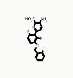 Nc1ccc(-c2c(F)ccc(OCc3ccccc3F)c2F)nc1C(=O)O